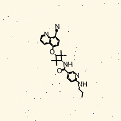 CCCNc1ccc(C(=O)N[C@H]2C(C)(C)[C@H](Oc3ccc(C#N)c4ncccc34)C2(C)C)cn1